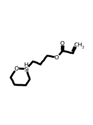 C=CC(=O)OCCC[SiH]1CCCCO1